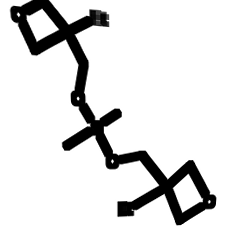 CCC1(CO[Si](C)(C)OCC2(CC)COC2)COC1